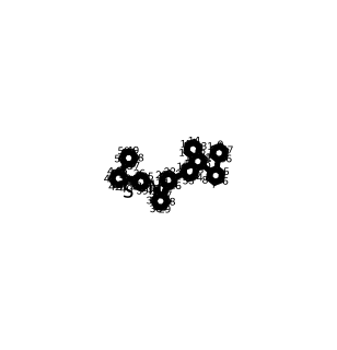 c1ccc(-c2ccccc2-c2cc3ccccc3c3cc(-c4ccc5c(c4)c4ccccc4n5-c4ccc5c(c4)sc4cccc(-c6ccccc6)c45)ccc23)cc1